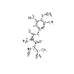 CSc1c(C)cc(OC(=O)N(C)C(=O)[C@@H](NCl)C(C)C)cc1C